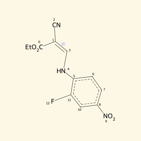 CCOC(=O)/C(C#N)=C\Nc1ccc([N+](=O)[O-])cc1F